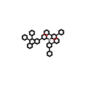 c1ccc(-c2ccc(N(c3cccc(-c4ccc5c(c4)c(-c4ccccc4)c(-c4ccccc4)c4ccccc45)c3)c3ccc(-c4ccccc4)cc3-c3ccccc3)c(-c3ccccc3)c2)cc1